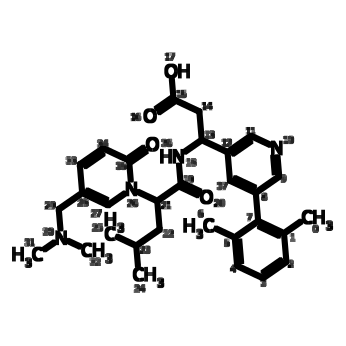 Cc1cccc(C)c1-c1cncc(C(CC(=O)O)NC(=O)C(CC(C)C)n2cc(CN(C)C)ccc2=O)c1